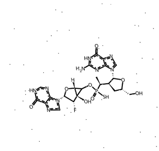 C[C@@H]([C@@H]1C[C@@H](CO)O[C@H]1n1cnc2c(=O)[nH]c(N)nc21)P(=O)(S)OC1[C@H]2O[C@@H](n3cnc4c(=O)[nH]cnc43)[C@@H](F)[C@@]12O